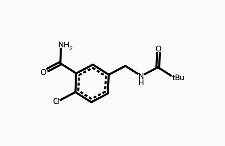 CC(C)(C)C(=O)NCc1ccc(Cl)c(C(N)=O)c1